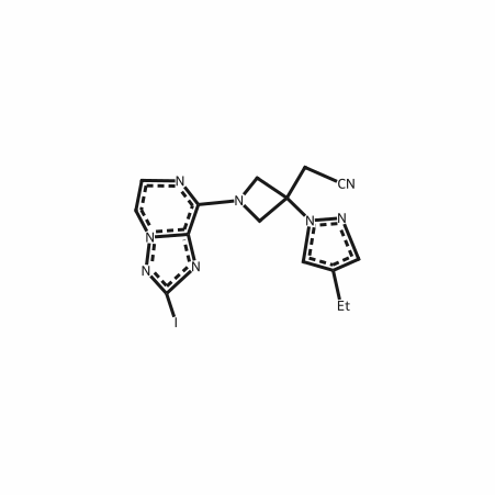 CCc1cnn(C2(CC#N)CN(c3nccn4nc(I)nc34)C2)c1